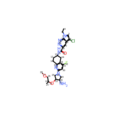 CCn1cc(Cl)c2cc(C(=O)NC3CCc4nc(N5CC(N)C(OC(C)COC)C5)cc(F)c4C3)nnc21